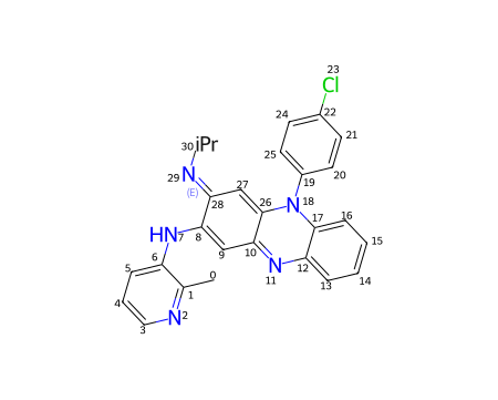 Cc1ncccc1Nc1cc2nc3ccccc3n(-c3ccc(Cl)cc3)c-2c/c1=N\C(C)C